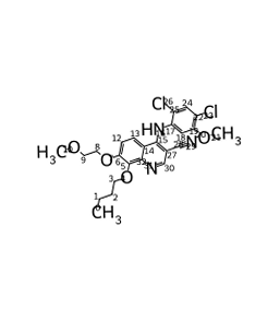 CCCCOc1c(OCCOC)ccc2c(Nc3cc(OC)c(Cl)cc3Cl)c(C#N)cnc12